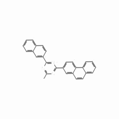 Clc1nc(-c2ccc3ccccc3c2)nc(-c2ccc3c(ccc4ccccc43)c2)n1